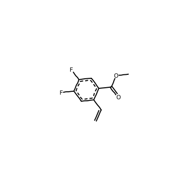 C=Cc1cc(F)c(F)cc1C(=O)OC